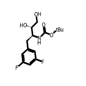 CC(C)(C)OC(=O)N[C@@H](Cc1cc(F)cc(F)c1)[C@H](O)CO